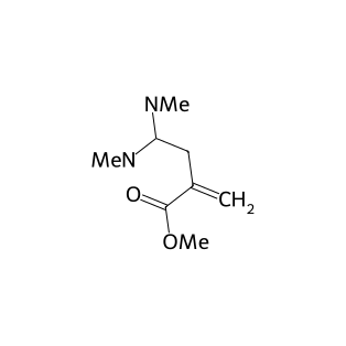 C=C(CC(NC)NC)C(=O)OC